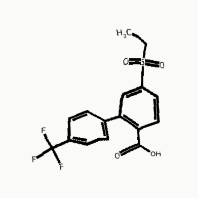 CCS(=O)(=O)c1ccc(C(=O)O)c(-c2ccc(C(F)(F)F)cc2)c1